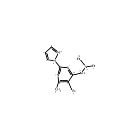 CCC(C)c1c(C)nc(-n2cccn2)nc1NN(CC)CC